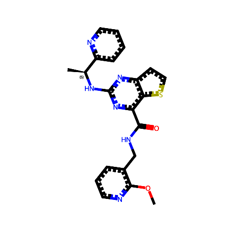 COc1ncccc1CNC(=O)c1nc(N[C@@H](C)c2ccccn2)nc2ccsc12